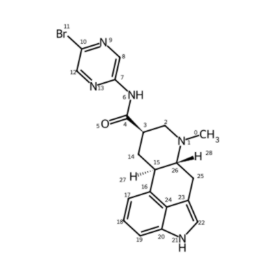 CN1C[C@H](C(=O)Nc2cnc(Br)cn2)C[C@@H]2c3cccc4[nH]cc(c34)C[C@H]21